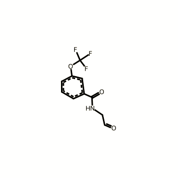 O=CCNC(=O)c1cccc(OC(F)(F)F)c1